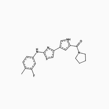 Cc1ccc(Nc2nc(-c3c[nH]c(C(=O)N4CCCC4)c3)cs2)cc1F